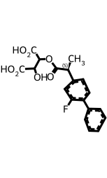 C[C@H](C(=O)OC(C(=O)O)C(O)C(=O)O)c1ccc(-c2ccccc2)c(F)c1